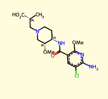 COc1nc(N)c(Cl)cc1C(=O)N[C@H]1CCN(C[C@@H](C)C(=O)O)C[C@H]1OC